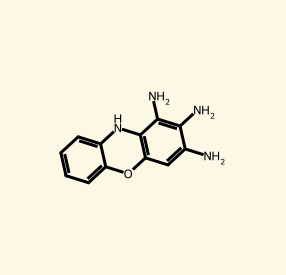 Nc1cc2c(c(N)c1N)Nc1ccccc1O2